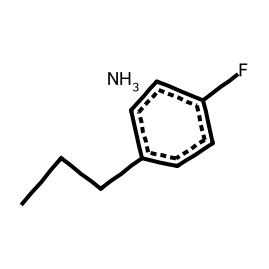 CCCc1ccc(F)cc1.N